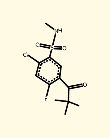 CNS(=O)(=O)c1cc(C(=O)C(C)(C)C)c(F)cc1Cl